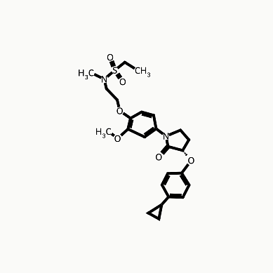 CCS(=O)(=O)N(C)CCOc1ccc(N2CC[C@H](Oc3ccc(C4CC4)cc3)C2=O)cc1OC